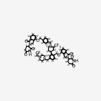 O=C1CCC(N2Cc3c(OCc4ccc(CN5CCC(c6cc(CN7CCN(CC(F)(F)F)CC7)ccc6COc6cccc7c6CN(C6CCC(=O)NC6=O)C7=O)C[C@H]5C(F)(F)F)cc4)cccc3C2=O)C(=O)N1